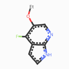 CCOc1cnc2[nH]ccc2c1F